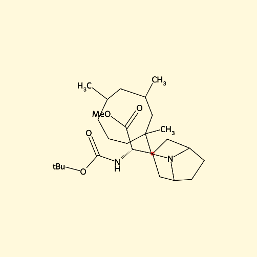 COC(=O)[C@@H](NC(=O)OC(C)(C)C)C1CC2CCC(C1)N2CC1(C)CCCC(C)CC(C)C1